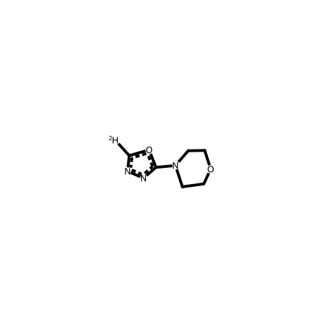 [2H]c1nnc(N2CCOCC2)o1